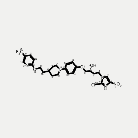 O=[N+]([O-])c1cn(CC[C@@H](O)COc2ccc(N3CCC(CCOc4ccc(C(F)(F)F)cn4)CC3)cc2)c(Cl)n1